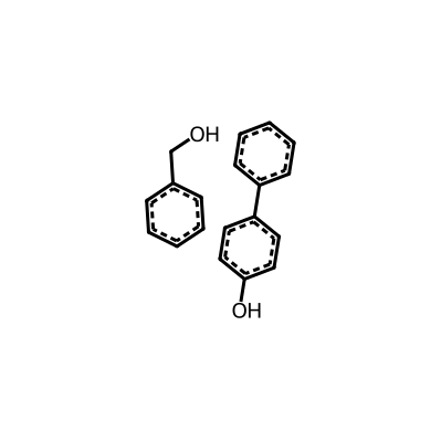 OCc1ccccc1.Oc1ccc(-c2ccccc2)cc1